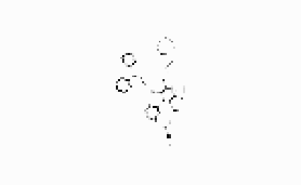 CC1=C(C(=O)OCCC#N)C(c2cccc(Cl)c2)C(C(=O)OCCC(c2ccccc2)c2ccccc2)=C(COCCN2CCCCCC2)N1